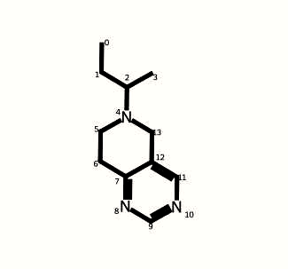 CCC(C)N1CCc2ncncc2C1